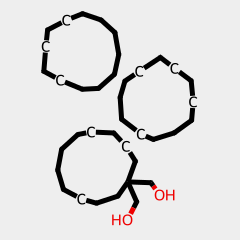 C1CCCCCCCCCCC1.C1CCCCCCCCCCC1.OCC1(CO)CCCCCCCCCCC1